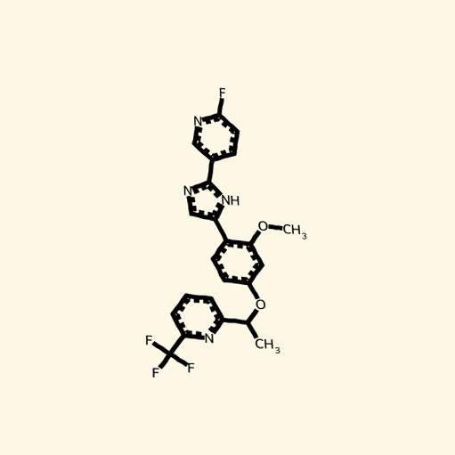 COc1cc(OC(C)c2cccc(C(F)(F)F)n2)ccc1-c1cnc(-c2ccc(F)nc2)[nH]1